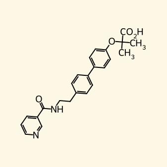 CC(C)(Oc1ccc(-c2ccc(CCNC(=O)c3cccnc3)cc2)cc1)C(=O)O